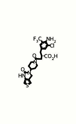 Nc1c(Cl)cc(C[C@@H](CC(=O)N2CCC(N3Cc4cscc4NC3=O)CC2)C(=O)O)cc1C(F)(F)F